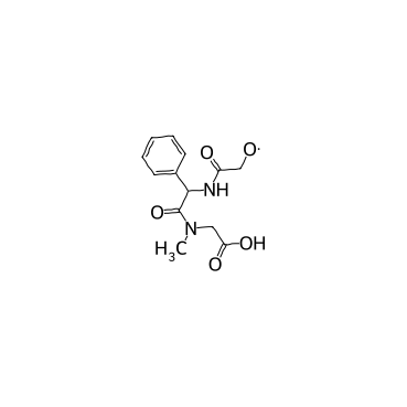 CN(CC(=O)O)C(=O)C(NC(=O)C[O])c1ccccc1